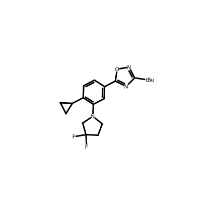 CC(C)(C)c1noc(-c2ccc(C3CC3)c(N3CCC(F)(F)C3)c2)n1